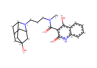 CC(C)N(CCCN1C2CC3CC1CC(O)(C3)C2)C(=O)c1c(O)c2ccccc2[nH]c1=O